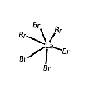 [Br][La]([Br])([Br])([Br])([Br])[Br]